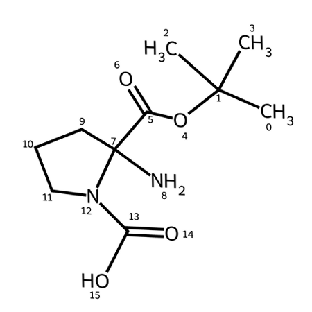 CC(C)(C)OC(=O)C1(N)CCCN1C(=O)O